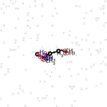 CNC(=O)[C@@](C)(C(=O)NOC1CCCCO1)N(C)C(=O)c1ccc(C#Cc2ccc(CCOC(C)(C)O)cc2)cc1